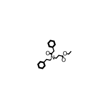 CCOC(=O)CCN(CCc1ccccc1)C(=O)Cc1ccccc1